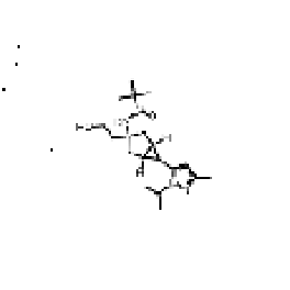 CC(C)n1nc(I)cc1[C@H]1[C@@H]2C[C@](CCO)(N[S+]([O-])C(C)(C)C)C[C@@H]21